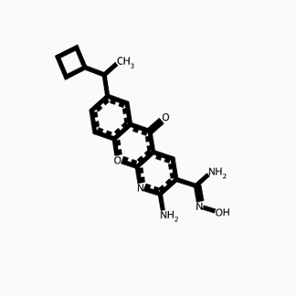 CC(c1ccc2oc3nc(N)c(/C(N)=N/O)cc3c(=O)c2c1)C1CCC1